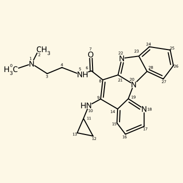 CN(C)CCNC(=O)c1c(NC2CC2)c2cccnc2n2c1nc1ccccc12